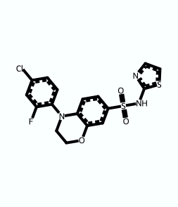 O=S(=O)(Nc1nccs1)c1ccc2c(c1)OCCN2c1ccc(Cl)cc1F